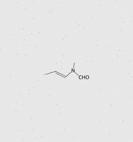 [CH2]C=CN(C)C=O